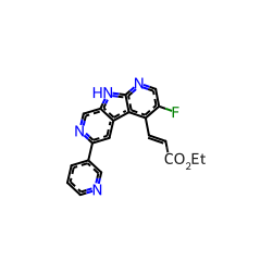 CCOC(=O)/C=C/c1c(F)cnc2[nH]c3cnc(-c4cccnc4)cc3c12